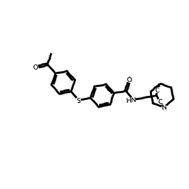 CC(=O)c1ccc(Sc2ccc(C(=O)NC3CC4CCN(CC4)C3)cc2)cc1